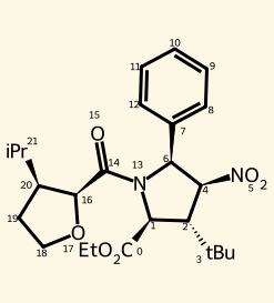 CCOC(=O)[C@@H]1[C@@H](C(C)(C)C)[C@H]([N+](=O)[O-])[C@H](c2ccccc2)N1C(=O)[C@H]1OCC[C@H]1C(C)C